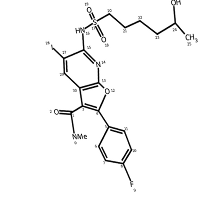 CNC(=O)c1c(-c2ccc(F)cc2)oc2nc(NS(=O)(=O)CCCCC(C)O)c(I)cc12